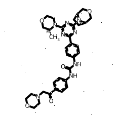 C[C@@H]1COCCN1c1nc(-c2ccc(NC(=O)Nc3ccc(C(=O)CN4CCOCC4)cc3)cc2)nc(N2C3CCC2COC3)n1